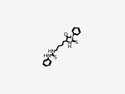 O=C1C(CCCCNC(=S)Nc2ccccc2)NC(=S)N1c1ccccc1